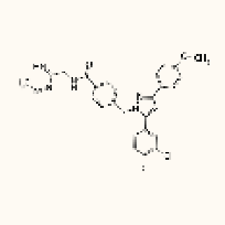 C/N=N\C(=N)CNC(=O)c1ccc(Cn2nc(-c3ccc(OC)cc3)cc2-c2ccc(Cl)c(Cl)c2)cc1